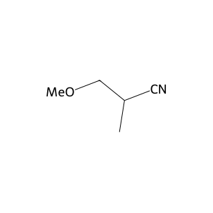 COCC(C)C#N